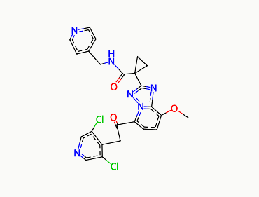 COc1ccc(C(=O)Cc2c(Cl)cncc2Cl)n2nc(C3(C(=O)NCc4ccncc4)CC3)nc12